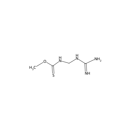 COC(=S)NCNC(=N)N